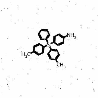 Cc1ccc([Si](c2ccccc2)(c2ccc(C)cc2)c2ccc(N)cc2)cc1